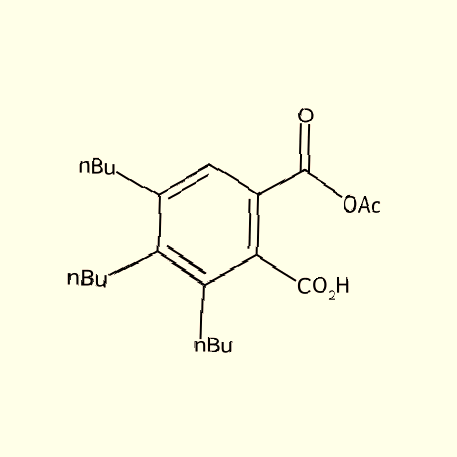 CCCCc1cc(C(=O)OC(C)=O)c(C(=O)O)c(CCCC)c1CCCC